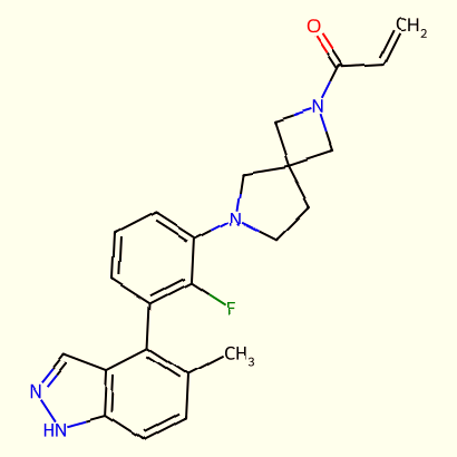 C=CC(=O)N1CC2(CCN(c3cccc(-c4c(C)ccc5[nH]ncc45)c3F)C2)C1